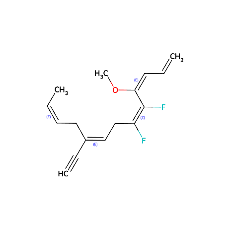 C#C/C(=C/C/C(F)=C(F)\C(=C/C=C)OC)C/C=C\C